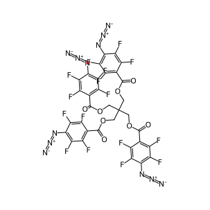 [N-]=[N+]=Nc1c(F)c(F)c(C(=O)OCC(COC(=O)c2c(F)c(F)c(N=[N+]=[N-])c(F)c2F)(COC(=O)c2c(F)c(F)c(N=[N+]=[N-])c(F)c2F)COC(=O)c2c(F)c(F)c(N=[N+]=[N-])c(F)c2F)c(F)c1F